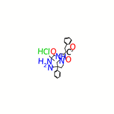 CC(C)(N)C(=O)NCC(C(=O)N1CCC(C#N)(c2ccccc2)CC1)C1CCOc2ccccc2C1.Cl